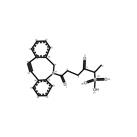 CC(C(=O)CCC(=O)N1Cc2ccccc2C#Cc2ccccc21)S(=O)(=O)O